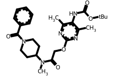 Cc1nc(OCC(=O)N(C)C2CCN(C(=O)c3ccccc3)CC2)nc(C)c1NC(=O)OC(C)(C)C